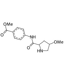 COC(=O)c1ccc(NC(=O)C2CC(OC)CN2)cc1